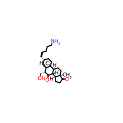 C[C@]12CC[C@@H](/C=C\CCCN)CC1[C@@H](CO)C(=O)[C@@H]1[C@@H]2CC[C@]2(C)C(=O)CC[C@@H]12